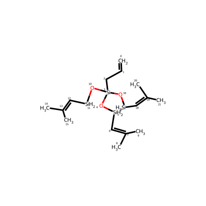 C=CC[Si](O[SiH2]C=C(C)C)(O[SiH2]C=C(C)C)O[SiH2]C=C(C)C